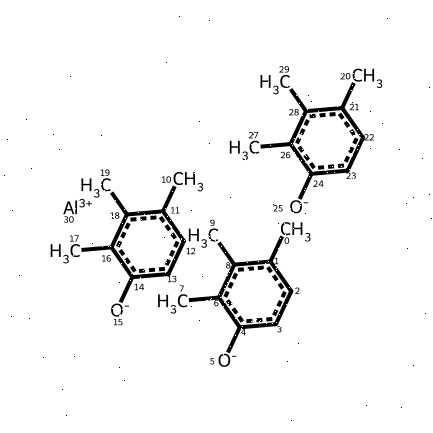 Cc1ccc([O-])c(C)c1C.Cc1ccc([O-])c(C)c1C.Cc1ccc([O-])c(C)c1C.[Al+3]